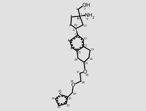 N[C@]1(CO)CC[C@H](c2ccc3c(c2)CCC(OCCOCc2cccs2)C3)C1